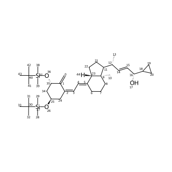 C=C1/C(=C\C=C2/CCC[C@]3(C)C([C@H](C)/C=C/[C@@H](O)C4CC4)CC[C@@H]23)C[C@@H](O[Si](C)(C)C(C)(C)C)C[C@@H]1O[Si](C)(C)C(C)(C)C